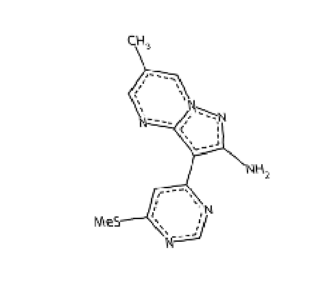 CSc1cc(-c2c(N)nn3cc(C)cnc23)ncn1